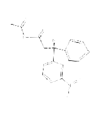 CC(=O)OC(=O)C[C@](N)(c1ccccc1)c1cccc([N+](=O)[O-])c1